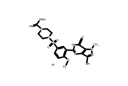 CCCc1nn(C)c2c(=O)[nH]c(-c3cc(S(=O)(=O)N4CCN(C(=N)NC)CC4)ccc3OCC)nc12.I